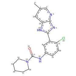 Cc1cnc2nc(-c3cc(NC(=O)N4CCCCC4)ccc3Cl)[nH]c2c1